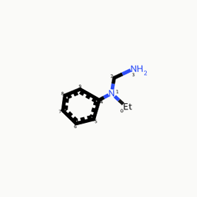 CCN(CN)c1ccccc1